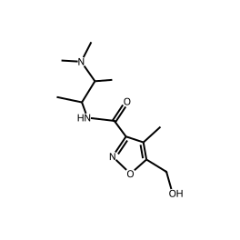 Cc1c(C(=O)NC(C)C(C)N(C)C)noc1CO